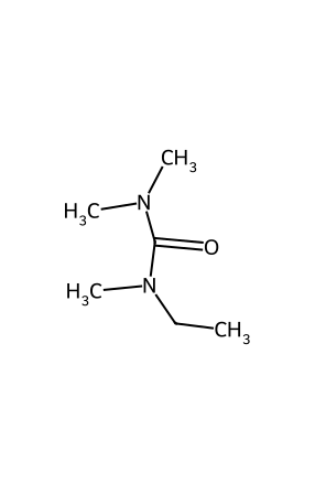 CCN(C)C(=O)N(C)C